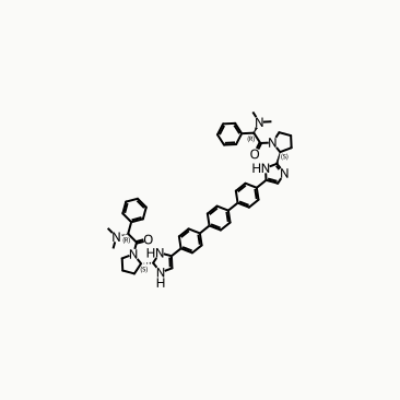 CN(C)[C@@H](C(=O)N1CCC[C@H]1c1ncc(-c2ccc(-c3ccc(-c4ccc(C5=CNC([C@@H]6CCCN6C(=O)[C@@H](c6ccccc6)N(C)C)N5)cc4)cc3)cc2)[nH]1)c1ccccc1